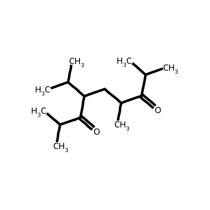 CC(C)C(=O)C(C)CC(C(=O)C(C)C)C(C)C